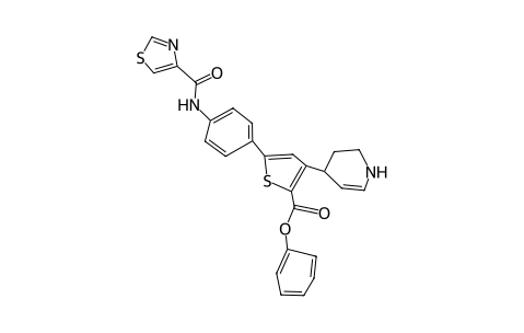 O=C(Nc1ccc(-c2cc(C3C=CNCC3)c(C(=O)Oc3ccccc3)s2)cc1)c1cscn1